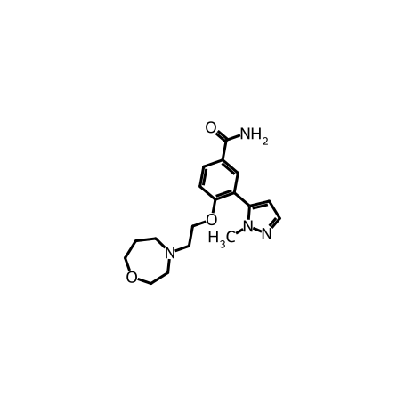 Cn1nccc1-c1cc(C(N)=O)ccc1OCCN1CCCOCC1